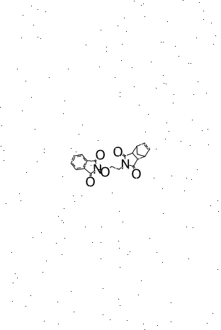 O=C1C2C3C=CC(C3)C2C(=O)N1CCON1C(=O)c2ccccc2C1=O